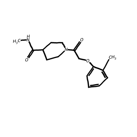 CNC(=O)C1CCN(C(=O)COc2ccccc2C)CC1